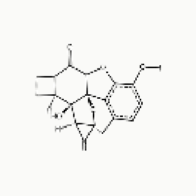 O=C1C2CC[C@@H]2[C@@]2(O)[C@@H]3N[C@@]34Cc3ccc(OI)c5c3[C@@]2(C4)C1O5